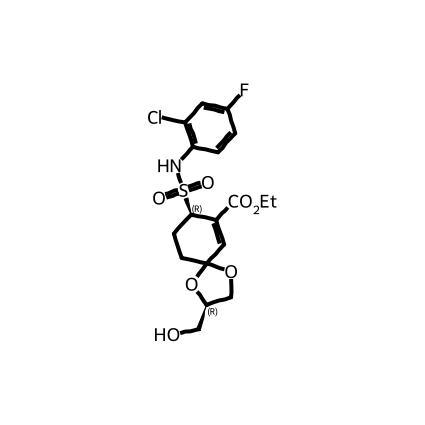 CCOC(=O)C1=CC2(CC[C@H]1S(=O)(=O)Nc1ccc(F)cc1Cl)OC[C@@H](CO)O2